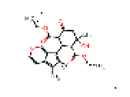 CCOC(=O)C1C(=O)CC(C)(O)C(C(=O)OCC)C1c1c2coccc-2c(C)c1C